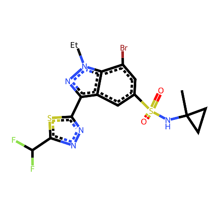 CCn1nc(-c2nnc(C(F)F)s2)c2cc(S(=O)(=O)NC3(C)CC3)cc(Br)c21